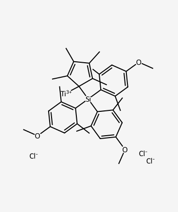 COc1cc(C)c([Si](c2c(C)cc(OC)cc2C)(c2c(C)cc(OC)cc2C)[C]2([Ti+3])C(C)=C(C)C(C)=C2C)c(C)c1.[Cl-].[Cl-].[Cl-]